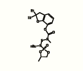 CCCCN(SN(C)C(=O)Oc1cccc2c1OC(CC)(CC)C2)P1(=O)OCC(C)O1